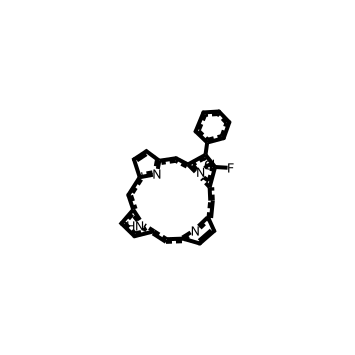 Fc1c(-c2ccccc2)c2cc3nc(cc4ccc(cc5nc(cc1n2Cl)C=C5)[nH]4)C=C3